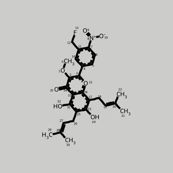 COc1c(-c2ccc([N+](=O)[O-])c(CF)c2)oc2c(CC=C(C)C)c(O)c(CC=C(C)C)c(O)c2c1=O